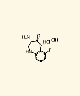 Cl.Cl.N[C@H]1CNc2cccc(F)c2NC1=O